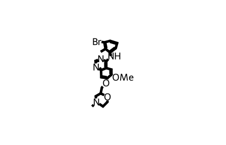 COc1cc2c(Nc3cccc(Br)c3C)ncnc2cc1OCC1CN(C)CCO1